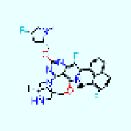 C#Cc1c(F)ccc2cccc(-c3nc4c5c(nc(OC[C@@H]6C[C@@H](F)CN6C)nc5c3F)N3C[C@H]5C[C@@]3(CN5)CO4)c12